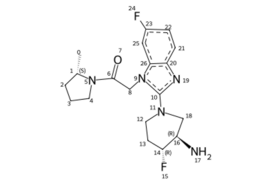 C[C@H]1CCCN1C(=O)Cn1c(N2CC[C@@H](F)[C@H](N)C2)nc2ccc(F)cc21